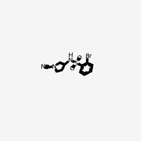 N#CN1CCC(NS(=O)(=O)c2ccccc2Br)C1